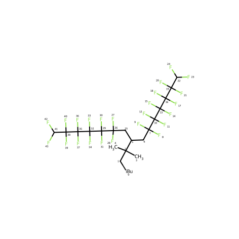 CCC(C)CC(C)(C)C(CC(F)(F)C(F)(F)C(F)(F)C(F)(F)C(F)(F)C(F)F)CC(F)(F)C(F)(F)C(F)(F)C(F)(F)C(F)(F)C(F)F